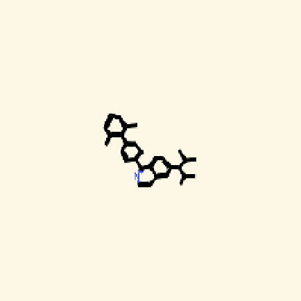 Cc1cccc(C)c1-c1ccc(-c2nccc3cc(C(C(C)C)C(C)C)ccc23)cc1